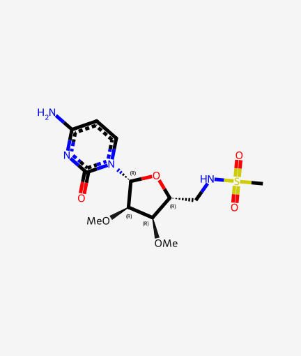 CO[C@@H]1[C@H](OC)[C@@H](CNS(C)(=O)=O)O[C@H]1n1ccc(N)nc1=O